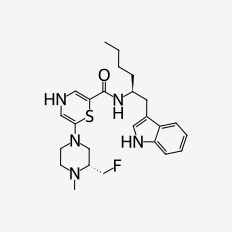 CCCC[C@@H](Cc1c[nH]c2ccccc12)NC(=O)C1=CNC=C(N2CCN(C)[C@@H](CF)C2)S1